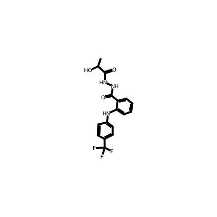 CC(O)C(=O)NNC(=O)c1ccccc1Nc1ccc(C(F)(F)F)cc1